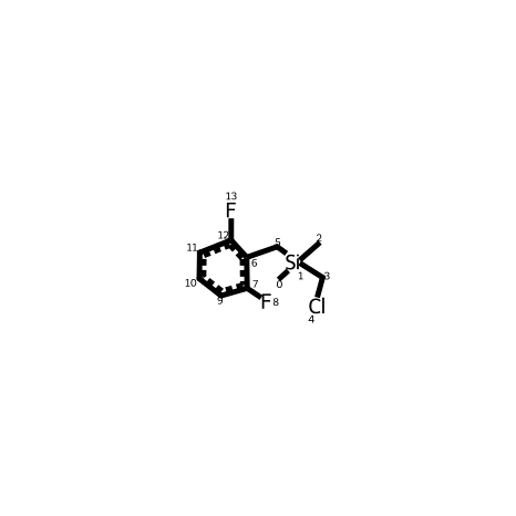 C[Si](C)(CCl)Cc1c(F)cccc1F